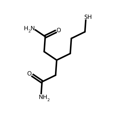 NC(=O)CC(CCCS)CC(N)=O